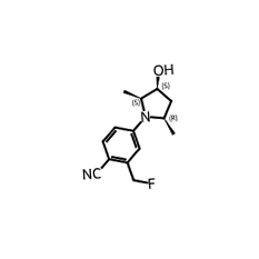 C[C@@H]1C[C@H](O)[C@H](C)N1c1ccc(C#N)c(CF)c1